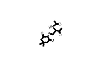 CC(=O)NC(CSC1C(=O)CC(C)(C)CC1=O)C(C)=O